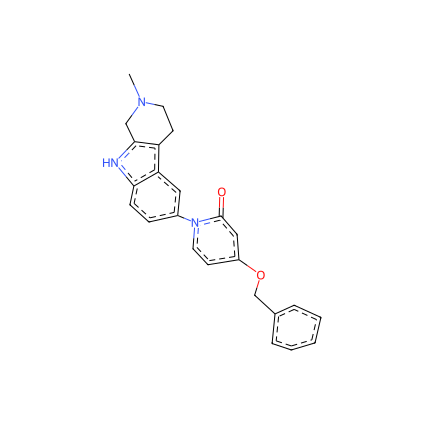 CN1CCc2c([nH]c3ccc(-n4ccc(OCc5ccccc5)cc4=O)cc23)C1